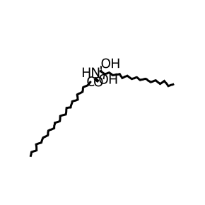 CCCCCCCCCCCCCCCCCCCCCCC(=O)N[C@@H](CO)[C@H](O)CCCCCCCCCCCCCCC